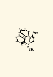 CCCCc1ccccc1-c1ccccc1.[SiH3]OCc1ccccc1